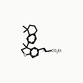 CCOC(=O)/C=C/c1ccc2c(c1)C(C)(c1ccc3c(c1)C(C)(C)CCC3)CO2